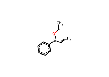 C=C[SiH](OCC)c1ccccc1